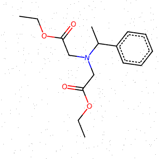 CCOC(=O)CN(CC(=O)OCC)C(C)c1ccccc1